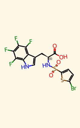 O=C(O)[C@H](Cc1c[nH]c2c(F)c(F)c(F)c(F)c12)NS(=O)(=O)c1ccc(Br)s1